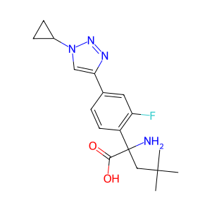 CC(C)(C)CC(N)(C(=O)O)c1ccc(-c2cn(C3CC3)nn2)cc1F